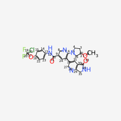 CO[C@@H]1CCN(c2ncc(C(=O)Nc3ccc(OC(F)(F)Cl)cc3)cc2-c2cnc3c(c2)C(=O)NC3)C1